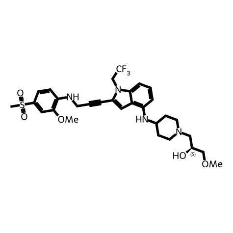 COC[C@@H](O)CN1CCC(Nc2cccc3c2cc(C#CCNc2ccc(S(C)(=O)=O)cc2OC)n3CC(F)(F)F)CC1